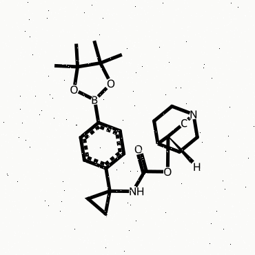 CC1(C)OB(c2ccc(C3(NC(=O)O[C@H]4CN5CCC4CC5)CC3)cc2)OC1(C)C